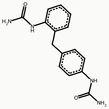 NC(=O)Nc1ccc(Cc2ccccc2NC(N)=O)cc1